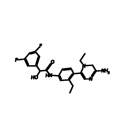 CCc1cc(NC(=O)C(O)c2cc(F)cc(F)c2)ccc1C1=CN=C(N)CN1CC